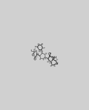 CC1(C)OC(=O)N(C2CCC(c3cc4ccncc4[nH]c3=O)CC2)[C@H]1c1ccccc1